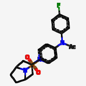 CC(=O)N(c1ccc(F)cc1)C1CCN(C2CC3CCC(C2)N3S(=O)(=O)c2ccccc2)CC1